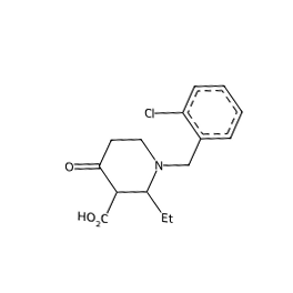 CCC1C(C(=O)O)C(=O)CCN1Cc1ccccc1Cl